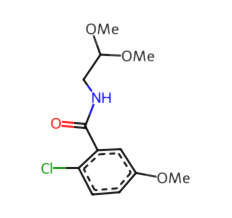 COc1ccc(Cl)c(C(=O)NCC(OC)OC)c1